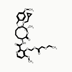 CCOCC(=O)OCOc1c(OC)ccnc1C(=O)N[C@H]1CCC[C@H](Cc2ccc(OC)cc2)[C@@H](OCC2CC2)[C@H](C)OC1=O